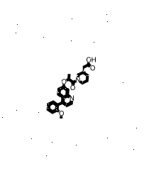 COc1ccccc1-c1ccnc2cc(OC(C)C(=O)N3CCC[C@H](CC(=O)O)C3)ccc12